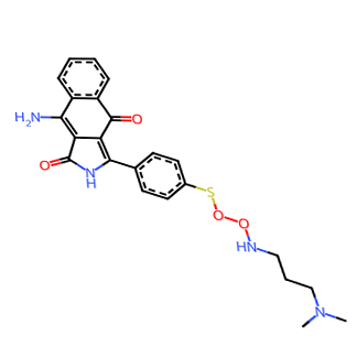 CN(C)CCCNOOSc1ccc(C2=C3C(=O)c4ccccc4C(N)=C3C(=O)N2)cc1